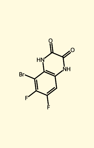 O=c1[nH]c2cc(F)c(F)c(Br)c2[nH]c1=O